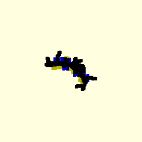 CCCCCCn1c2cc(CC(CC)CCCC)sc2c2sc(-c3cnc(-c4cc5c(s4)-c4sc(-c6ncc(-c7cc8c(s7)c7sc(CC(CC)CCCC)cc7n8CCCCCC)c7nsnc67)cc4C5(CC(CC)CCCC)CC(CC)CCCC)c4nsnc34)cc21